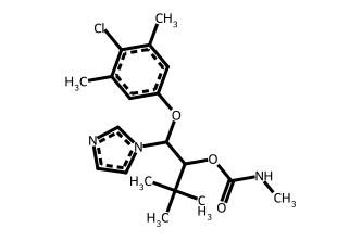 CNC(=O)OC(C(Oc1cc(C)c(Cl)c(C)c1)n1ccnc1)C(C)(C)C